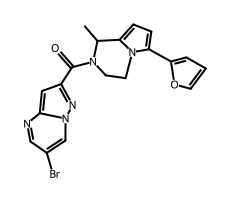 CC1c2ccc(-c3ccco3)n2CCN1C(=O)c1cc2ncc(Br)cn2n1